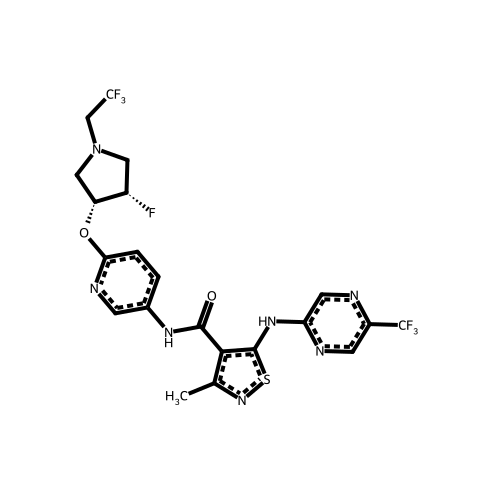 Cc1nsc(Nc2cnc(C(F)(F)F)cn2)c1C(=O)Nc1ccc(O[C@@H]2CN(CC(F)(F)F)C[C@@H]2F)nc1